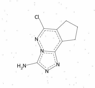 Nc1nnc2c3c(c(Cl)nn12)CCC3